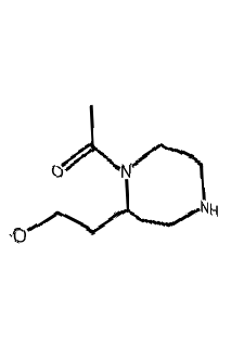 CC(=O)N1CCNCC1CC[O]